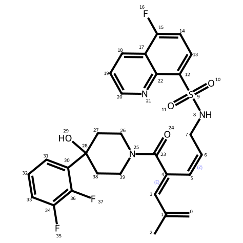 C=C(C)/C=C(\C=C/CNS(=O)(=O)c1ccc(F)c2cccnc12)C(=O)N1CCC(O)(c2cccc(F)c2F)CC1